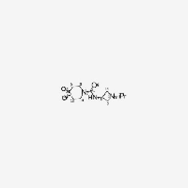 CC(C)N1CC(NC(=O)N2CCS(=O)(=O)CC2)C1